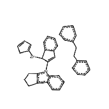 C1=CC[C]([Zr][CH]2C(n3c4c(c5ccccc53)CCC4)=Cc3ccccc32)=C1.c1ccc(CCc2ccccc2)cc1